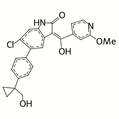 COc1cc(C(O)=C2C(=O)Nc3cc(Cl)c(-c4ccc(C5(CO)CC5)cc4)cc32)ccn1